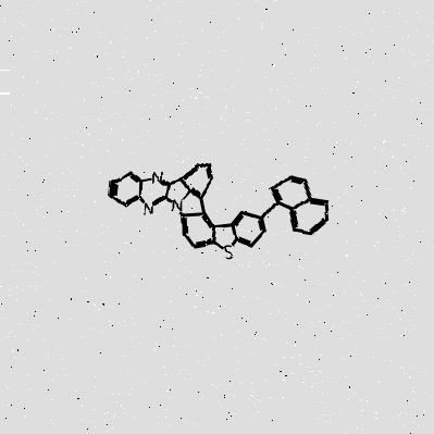 c1ccc2c(-c3ccc4sc5ccc6c(c7cccc8c9nc%10ccccc%10nc9n6c87)c5c4c3)cccc2c1